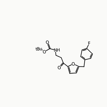 CC(C)(C)OC(=O)NCCC(=O)c1ccc(Cc2ccc(F)cc2)o1